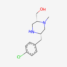 CN1C[C@H](Cc2ccc(Cl)cc2)NC[C@@H]1CO